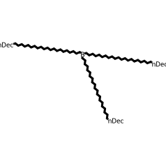 CCCCCCCCCCCCCCCCCCCCCCCCCCCCCCCB(CCCCCCCCCCCCCCCCCCCCCCCCCCCCCCC)CCCCCCCCCCCCCCCCCCCCCCCCCCCCCCC